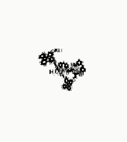 CC(C)OCCOc1ccc(C2(c3ccc(OCCC4CC4C(=O)Nc4cccc(CC5=CCCC(NC(=O)OCC(C)(COC(=O)NC6=CCCC(Cc7cccc(NC(=O)C(C)(C)OCCOc8ccc(C9(c%10ccc(OCCO)cc%10)C%10=C(CCC=C%10)c%10ccccc%109)cc8)c7)=C6)C(=O)O)=C5)c4)cc3)C3=C(CCC=C3)c3ccccc32)cc1